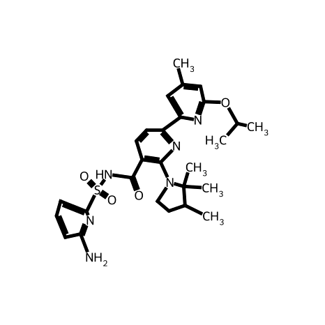 Cc1cc(OC(C)C)nc(-c2ccc(C(=O)NS(=O)(=O)c3cccc(N)n3)c(N3CCC(C)C3(C)C)n2)c1